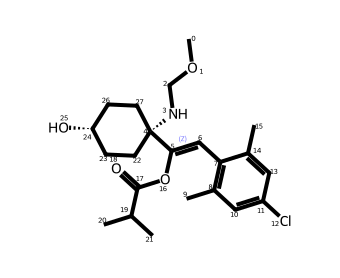 COCN[C@]1(/C(=C/c2c(C)cc(Cl)cc2C)OC(=O)C(C)C)CC[C@H](O)CC1